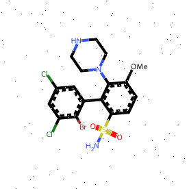 COc1ccc(S(N)(=O)=O)c(-c2cc(Cl)cc(Cl)c2Br)c1N1CCNCC1